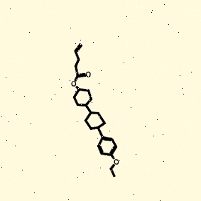 C=CCCC(=O)OC1CCC(C2CCC(c3ccc(OCC)cc3)CC2)CC1